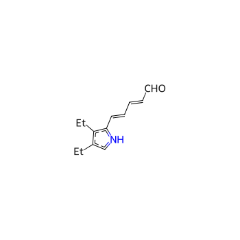 CCc1c[nH]c(C=CC=CC=O)c1CC